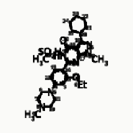 CCOc1cc(N2CCN(C)CC2)ccc1-c1nc2c(c(C3CCCCC3)nn2C)c(=O)[nH]1.CS(=O)(=O)O